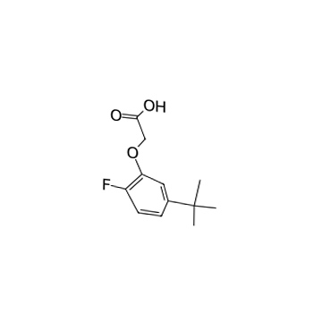 CC(C)(C)c1ccc(F)c(OCC(=O)O)c1